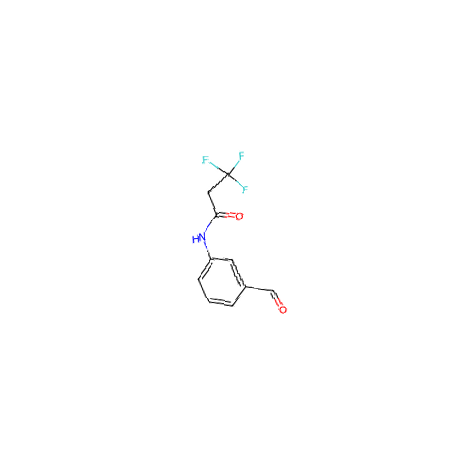 O=Cc1cccc(NC(=O)CC(F)(F)F)c1